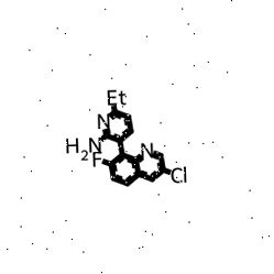 CCc1ccc(-c2c(F)ccc3cc(Cl)cnc23)c(N)n1